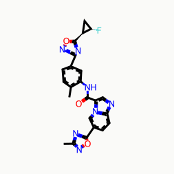 Cc1noc(-c2ccc3ncc(C(=O)Nc4cc(-c5noc([C@H]6C[C@@H]6F)n5)ccc4C)n3c2)n1